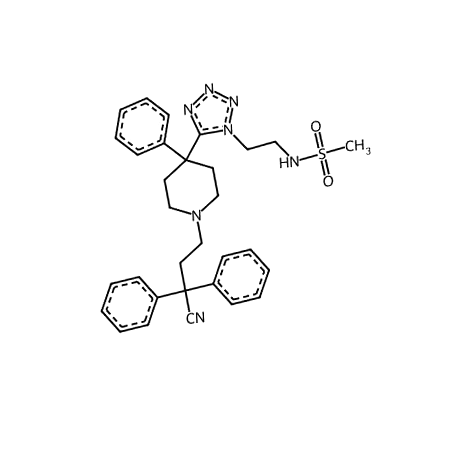 CS(=O)(=O)NCCn1nnnc1C1(c2ccccc2)CCN(CCC(C#N)(c2ccccc2)c2ccccc2)CC1